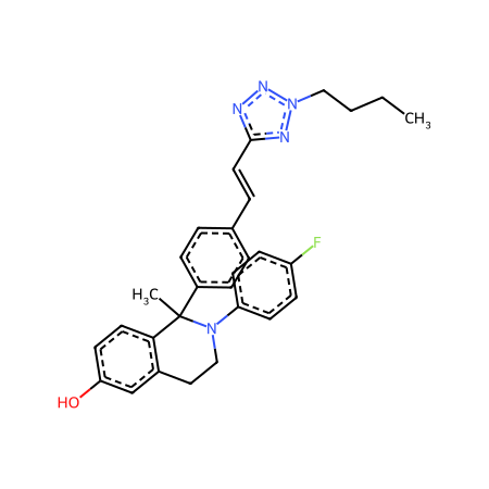 CCCCn1nnc(C=Cc2ccc(C3(C)c4ccc(O)cc4CCN3c3ccc(F)cc3)cc2)n1